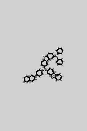 c1ccc(N(c2ccccc2)c2ccc3sc4ccc(N(c5ccc(-c6ccc7ccccc7c6)cc5)c5ccc6c(c5)sc5ccccc56)cc4c3c2)cc1